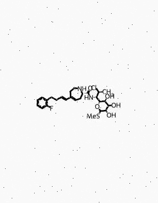 CSC1O[C@H]([C@H](NC(=O)[C@@H]2CC=C(/C=C/CCc3ccccc3F)CCN2)[C@H](C)Cl)[C@@H](O)C(O)[C@H]1O